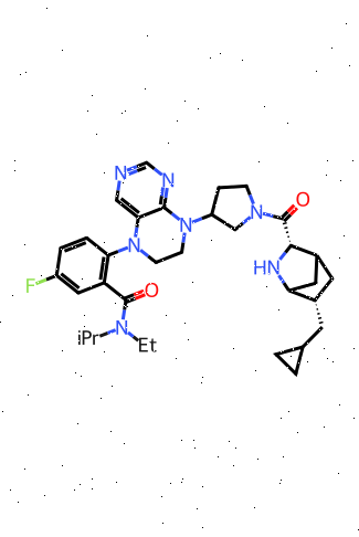 CCN(C(=O)c1cc(F)ccc1N1CCN(C2CCN(C(=O)[C@H]3NC4CC3C[C@@H]4CC3CC3)C2)c2ncncc21)C(C)C